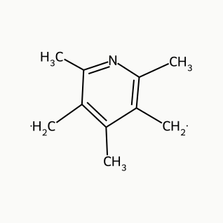 [CH2]c1c(C)nc(C)c([CH2])c1C